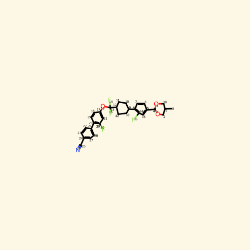 CC1COC(c2ccc(C3CCC(C(F)(F)Oc4ccc(-c5ccc(C#N)cc5)c(F)c4)CC3)c(F)c2)OC1